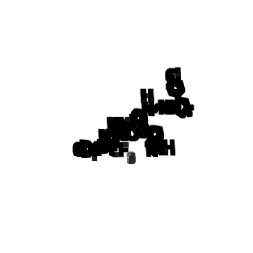 CC1(C)CCC(CNCCNc2ccc(C(=O)NS(=O)(=O)c3cnc(OCC4(F)CCOCC4)c(C(F)(F)F)c3)c(Oc3cccc4[nH]ncc34)c2)=C(c2ccc(Cl)cc2)C1